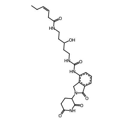 CC/C=C\CC(=O)NCCC(O)CCNC(=O)Nc1cccc2c1CN(C1CCC(=O)NC1=O)C2=O